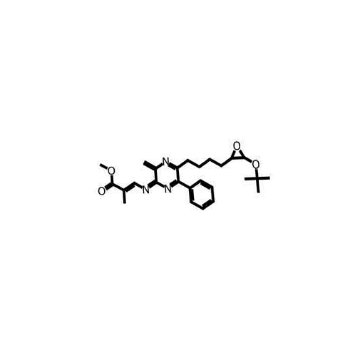 C=C1N=C(CCCCC2OC2OC(C)(C)C)C(c2ccccc2)=N/C1=N/C=C(\C)C(=O)OC